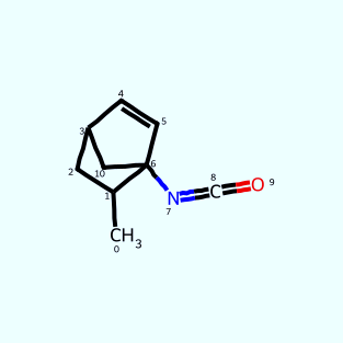 CC1CC2C=CC1(N=C=O)C2